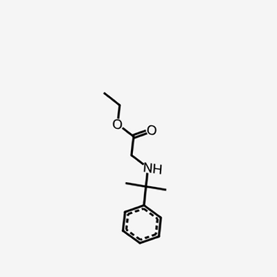 CCOC(=O)CNC(C)(C)c1ccccc1